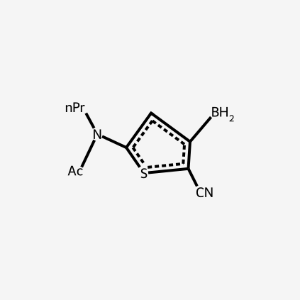 Bc1cc(N(CCC)C(C)=O)sc1C#N